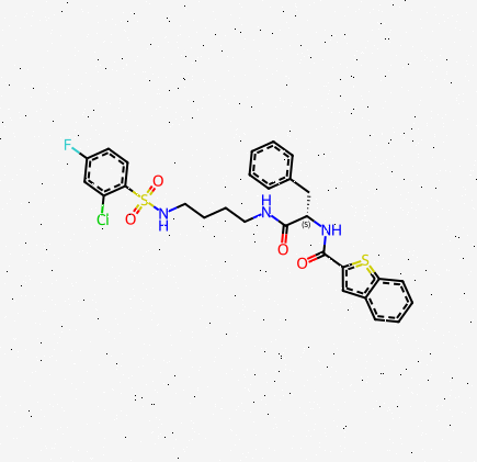 O=C(N[C@@H](Cc1ccccc1)C(=O)NCCCCNS(=O)(=O)c1ccc(F)cc1Cl)c1cc2ccccc2s1